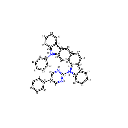 c1ccc(-c2cnc(-n3c4ccccc4c4ccc5cc6c7ccccc7n(-c7ccccc7)c6cc5c43)nc2)cc1